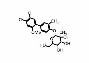 COc1cc(Cl)c(Cl)cc1-c1ccc(O[C@H]2OC(CO)[C@@H](O)[C@H](O)[C@]2(C)O)c(C)c1